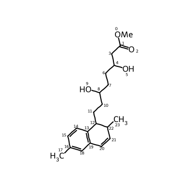 COC(=O)CC(O)CCC(O)CCC1c2ccc(C)cc2C=CC1C